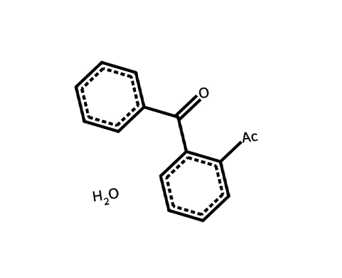 CC(=O)c1ccccc1C(=O)c1ccccc1.O